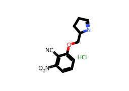 Cl.N#Cc1c(OCC2CCC=N2)cccc1[N+](=O)[O-]